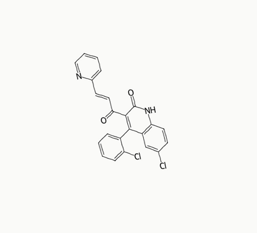 O=C(/C=C/c1ccccn1)c1c(-c2ccccc2Cl)c2cc(Cl)ccc2[nH]c1=O